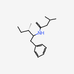 C=C(CC(C)C)NC(Cc1ccccc1)[C@@H](C)CC